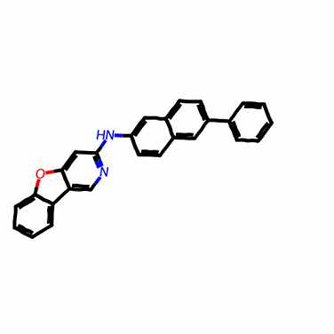 c1ccc(-c2ccc3cc(Nc4cc5oc6ccccc6c5cn4)ccc3c2)cc1